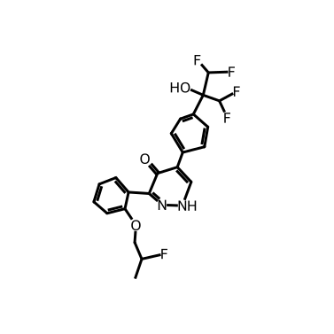 CC(F)COc1ccccc1-c1n[nH]cc(-c2ccc(C(O)(C(F)F)C(F)F)cc2)c1=O